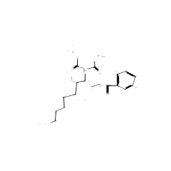 CCCCCCCCCCCCCC[C@@H](O)[C@@H](O)[C@H](COC(=O)c1ccccc1)N(C(=O)OC(C)(C)C)C(=O)OC(C)(C)C